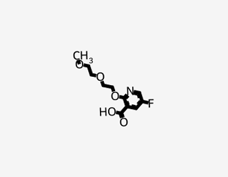 COCCOCCOc1ncc(F)cc1C(=O)O